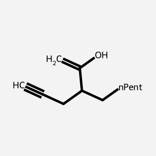 C#CCC(CCCCCC)C(=C)O